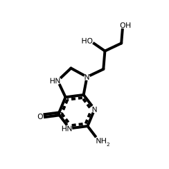 Nc1nc2c(c(=O)[nH]1)NCN2CC(O)CO